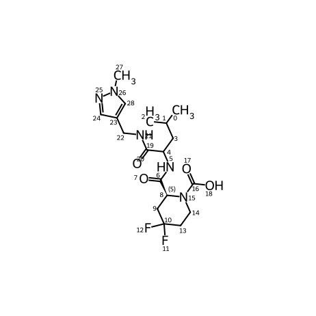 CC(C)CC(NC(=O)[C@@H]1CC(F)(F)CCN1C(=O)O)C(=O)NCc1cnn(C)c1